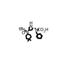 CC1(C)CCC(N(C(=O)C(C)(C)C)[C@@H]2CN[C@H](CN(Cc3ccccc3)C(=O)O)C2)CC1